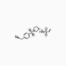 C=CS(=O)(=O)NC[C@H]1CCN(S(=O)(=O)c2ccc(CC#N)cc2)C1